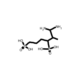 CC(C(N)N)C(CCCP(=O)(O)O)P(=O)(O)O